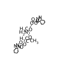 CC(C)(CCOC(=O)On1nnc2ccccc21)OCCC(C)(N)OCCOC(=O)On1nnc2ccccc21